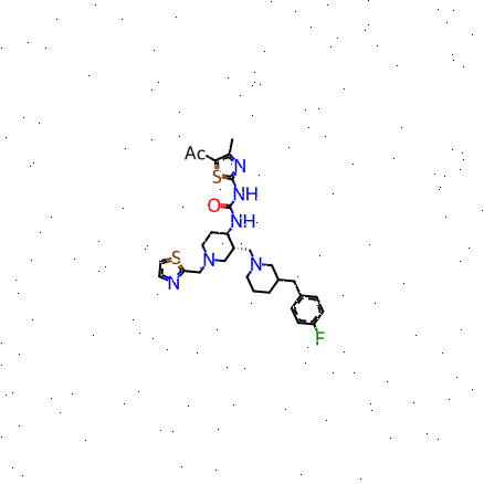 CC(=O)c1sc(NC(=O)N[C@@H]2CCN(Cc3nccs3)C[C@H]2CN2CCCC(Cc3ccc(F)cc3)C2)nc1C